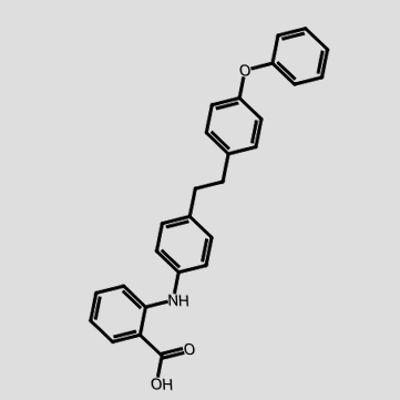 O=C(O)c1ccccc1Nc1ccc(CCc2ccc(Oc3ccccc3)cc2)cc1